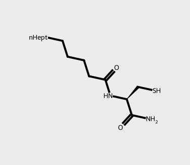 CCCCCCCCCCCC(=O)N[C@@H](CS)C(N)=O